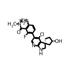 CN(C)C(=O)c1c(N)ccc(-c2cnc3c(c2Cl)[C@]2(CC[C@@H](O)C2)CN3)c1F